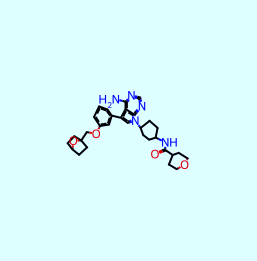 Nc1ncnc2c1c(-c1cccc(OCC34CCC(CC3)O4)c1)cn2C1CCC(NC(=O)C2CCOCC2)CC1